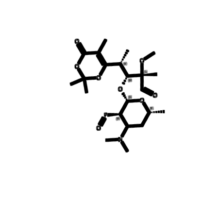 CO[C@](C)(C=O)[C@H](O[C@@H]1O[C@H](C)CC(N(C)C)[C@H]1P=O)[C@@H](C)C1=C(C)C(=O)OC(C)(C)O1